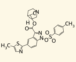 Cc1ccc(S(=O)(=O)On2nc(C(=O)O[C@@H]3CN4CCC3CC4)c3cc(-c4ncc(C)s4)ccc32)cc1